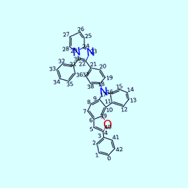 c1ccc(-c2cc3ccc4c(c5ccccc5n4-c4ccc(-c5nc6ccccn6c5-c5ccccc5)cc4)c3o2)cc1